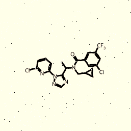 CC(c1ncnn1-c1cccc(Cl)n1)N(CC1CC1)C(=O)c1cc(Cl)cc(C(F)(F)F)c1